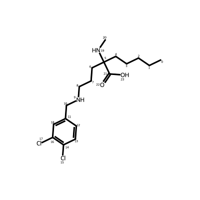 CCCCCC(CCCNCc1ccc(Cl)c(Cl)c1)(NC)C(=O)O